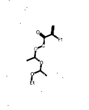 C=C(CC)C(=O)OOC(C)OC(C)OCC